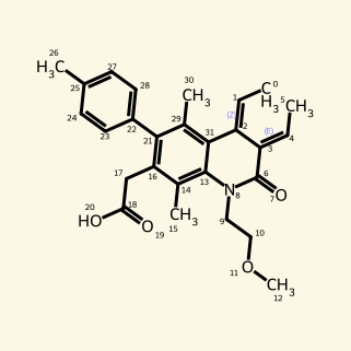 C/C=c1\c(=C/C)c(=O)n(CCOC)c2c(C)c(CC(=O)O)c(-c3ccc(C)cc3)c(C)c12